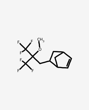 COC(CC1CC2C=CC1C2)(C(F)(F)F)C(F)(F)F